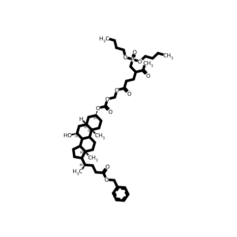 CCCCOP(=O)(CC(CCC(=O)OCOC(=O)O[C@@H]1CC[C@]2(C)C3CC[C@@]4(C)C(CCC4[C@H](C)CCC(=O)OCc4ccccc4)C3[C@@H](O)C[C@@H]2C1)C(C)=O)OCCCC